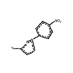 [2H]c1ccn(-c2ccc([N+](=O)[O-])cc2)n1